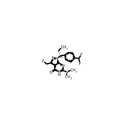 CC[C@H](c1ccc(C(F)F)cc1)n1nc(CF)c2c(=O)[nH]c(N(C)C)nc21